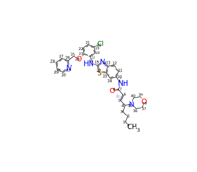 CCCCC(/C=C/C(=O)Nc1ccc2nc(Nc3cc(Cl)ccc3OCc3ccccn3)sc2c1)N1CCOCC1